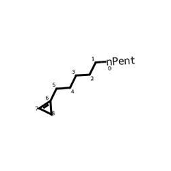 CCCCCCCCCCC1=CC1